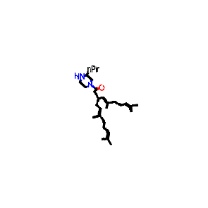 CCCC1CN(C(=O)CC(/C=C(\C)CCC=C(C)C)C/C=C(\C)CCC=C(C)C)CCN1